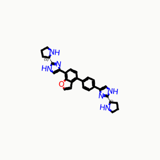 c1cc2c(-c3ccc(-c4c[nH]c([C@@H]5CCCN5)n4)cc3)ccc(-c3c[nH]c([C@@H]4CCCN4)n3)c2o1